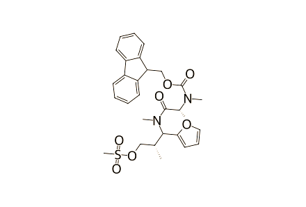 C[C@H](COS(C)(=O)=O)C(c1ccco1)N(C)C(=O)[C@@H](C)N(C)C(=O)OCC1c2ccccc2-c2ccccc21